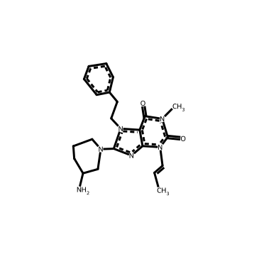 CC=Cn1c(=O)n(C)c(=O)c2c1nc(N1CCCC(N)C1)n2CCc1ccccc1